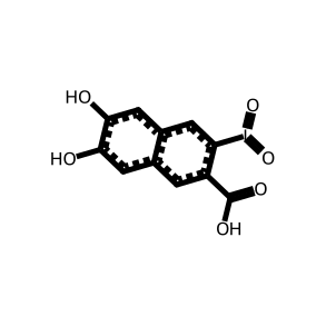 O=C(O)c1cc2cc(O)c(O)cc2cc1I(=O)=O